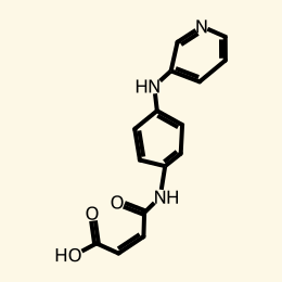 O=C(O)/C=C\C(=O)Nc1ccc(Nc2cccnc2)cc1